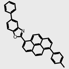 Cc1ccc(-c2ccc3ccc4c(-c5nc6cc(-c7ccccc7)ccc6o5)ccc5ccc2c3c54)cc1